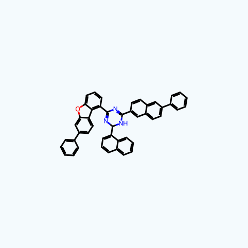 c1ccc(-c2ccc3cc(C4=NC(c5cccc6oc7cc(-c8ccccc8)ccc7c56)=NC(c5cccc6ccccc56)N4)ccc3c2)cc1